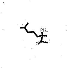 CC(=O)C(C)(P)CCCC(C)C